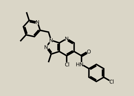 Cc1cc(C)nc(Cn2nc(C)c3c(Cl)c(C(=O)Nc4ccc(Cl)cc4)cnc32)c1